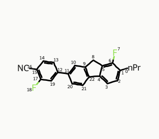 CCCc1ccc2c(c1F)Cc1cc(-c3ccc(C#N)c(F)c3)ccc1-2